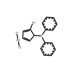 [Cl][Pd][Cl].[Fe][C]1=CC=CC1P(c1ccccc1)c1ccccc1